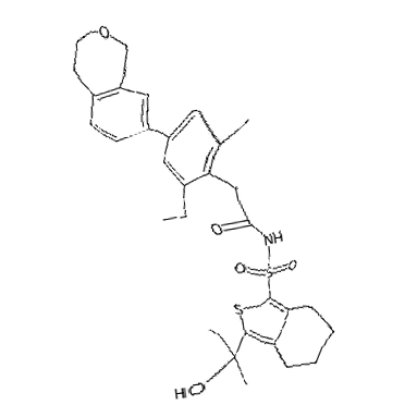 CCc1cc(-c2ccc3c(c2)COCC3)cc(C)c1CC(=O)NS(=O)(=O)c1sc(C(C)(C)O)c2c1CCCC2